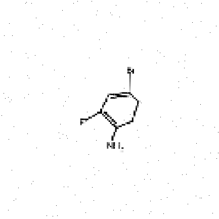 NC1=C(F)C=C(Br)C[CH]1